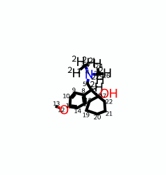 [2H]C([2H])([2H])N(C[C@]([2H])(c1ccc(OC)cc1)C1(O)CCCCC1)C([2H])([2H])[2H]